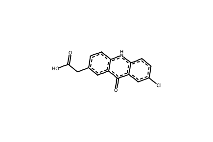 O=C(O)Cc1ccc2[nH]c3ccc(Cl)cc3c(=O)c2c1